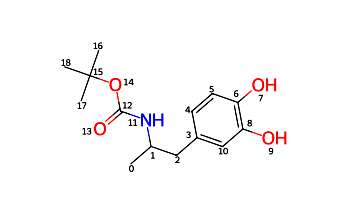 CC(Cc1ccc(O)c(O)c1)NC(=O)OC(C)(C)C